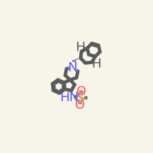 CS(=O)(=O)N[C@H]1CC2(CCN(C[C@H]3CC[C@H]4CC=C[C@@H](C4)C3)CC2)c2ccccc21